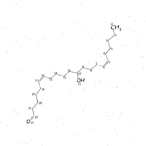 CCCCC/C=C\CCCC(O)CCCC/C=C\CCCCC=O